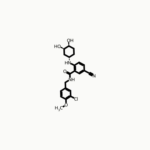 COc1ccc(CNC(=O)c2cc(C#N)ccc2N[C@H]2CC[C@H](O)[C@H](O)C2)cc1Cl